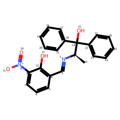 C[C@@H](N=Cc1cccc([N+](=O)[O-])c1O)C(O)(c1ccccc1)c1ccccc1